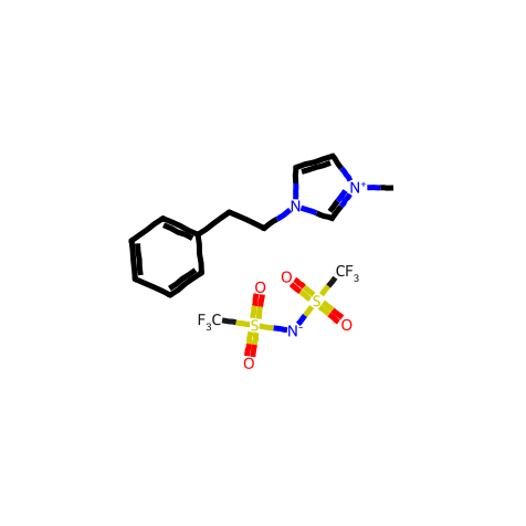 C[n+]1ccn(CCc2ccccc2)c1.O=S(=O)([N-]S(=O)(=O)C(F)(F)F)C(F)(F)F